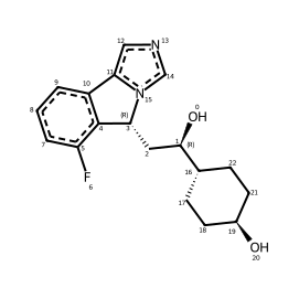 O[C@H](C[C@@H]1c2c(F)cccc2-c2cncn21)[C@H]1CC[C@H](O)CC1